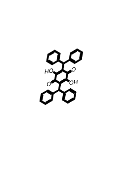 O=C1C(O)=C(C(c2ccccc2)c2ccccc2)C(=O)C(O)=C1C(c1ccccc1)c1ccccc1